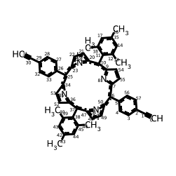 C#Cc1ccc(-c2c3nc(c(-c4c(C)cc(C)cc4C)c4ccc([nH]4)c(-c4ccc(C#C)cc4)c4nc(c(-c5c(C)cc(C)cc5C)c5ccc2[nH]5)C=C4)C=C3)cc1